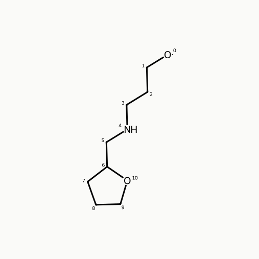 [O]CCCNCC1CCCO1